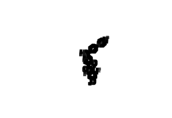 COc1cc(F)c(N2COc3cc(Nc4ccc(N5CCN(C)CC5)cc4)ncc3C2=O)c(F)c1